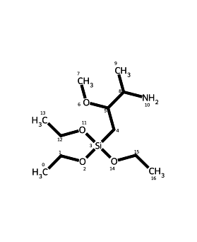 CCO[Si](CC(OC)C(C)N)(OCC)OCC